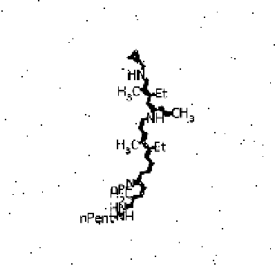 C=C(/C=C\C(C\C=C/C=C(CC)/C(C)=C/C=C\NC(/C=C/C)=C/C(CC)=C(\C)CNCC1CC1)=N/CCC)CNNCCCCC